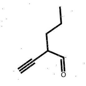 C#CC([C]=O)CCC